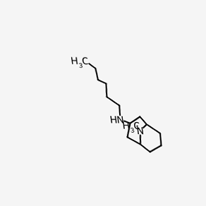 CCCCCCNC1CC2CCCC(C1)N2C